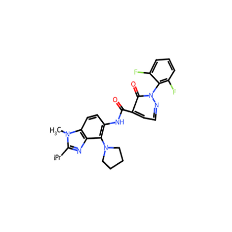 CC(C)c1nc2c(N3CCCC3)c(NC(=O)c3ccnn(-c4c(F)cccc4F)c3=O)ccc2n1C